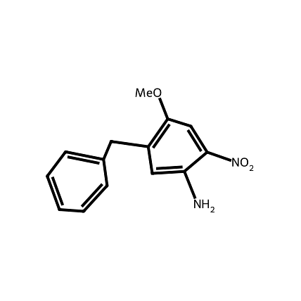 COc1cc([N+](=O)[O-])c(N)cc1Cc1ccccc1